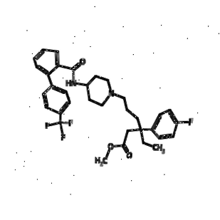 CCC(CCCN1CCC(NC(=O)c2ccccc2-c2ccc(C(F)(F)F)cc2)CC1)(CC(=O)OC)c1ccc(F)cc1